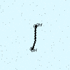 O=C(O)CCCCCCC/C=C/CCCCCCCCC(=O)O